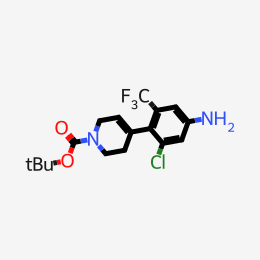 CC(C)(C)OC(=O)N1CC=C(c2c(Cl)cc(N)cc2C(F)(F)F)CC1